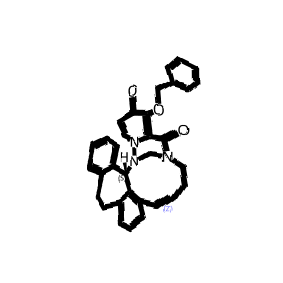 O=C1c2c(OCc3ccccc3)c(=O)ccn2N2CN1CC/C=C\c1cccc3c1[C@@H]2c1ccccc1CC3